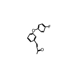 CC(=O)/C=C/c1cccc(Oc2ccc(F)cc2)c1